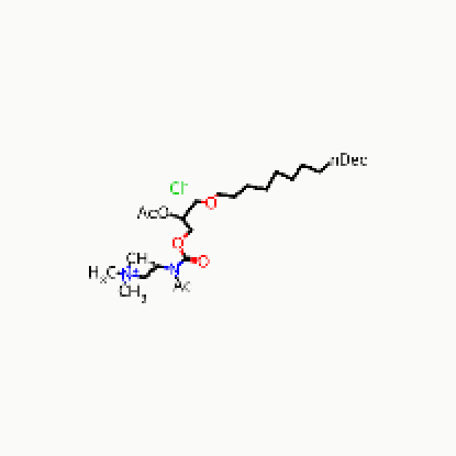 CCCCCCCCCCCCCCCCCCOCC(COC(=O)N(CC[N+](C)(C)C)C(C)=O)OC(C)=O.[Cl-]